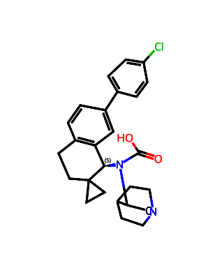 O=C(O)N(C1CN2CCC1CC2)[C@@H]1c2cc(-c3ccc(Cl)cc3)ccc2CCC12CC2